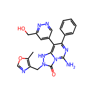 Cc1ocnc1Cn1[nH]c2c(-c3cnnc(CO)c3)c(-c3ccccc3)nc(N)[n+]2c1=O